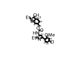 CCN1N=C2C=C(COC(=O)Nc3cc(-c4ccc(Cl)cc4OC)nn3CC)C=CC2C1C